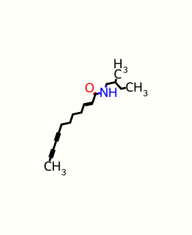 CC#CC#CCCCC/C=C/C(=O)NCC(C)CC